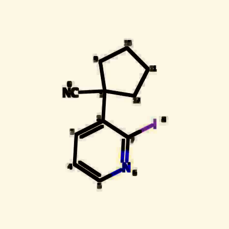 N#CC1(c2cccnc2I)CCCC1